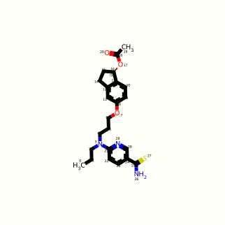 CCCN(CCCOc1ccc2c(c1)CC[C@@H]2OC(C)=O)c1ccc(C(N)=S)cn1